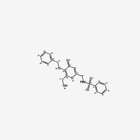 O=c1cc(CNS(=O)(=O)c2ccccc2)oc(CO)c1OCc1ccccc1